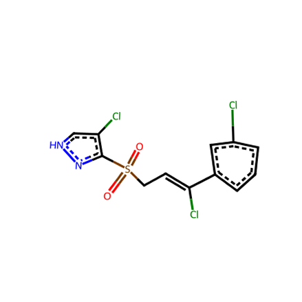 O=S(=O)(CC=C(Cl)c1cccc(Cl)c1)c1n[nH]cc1Cl